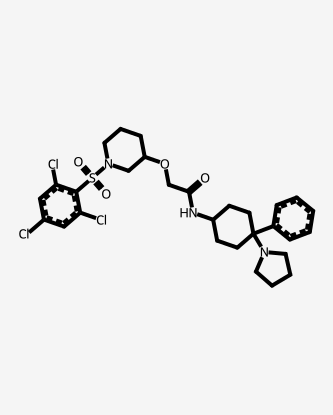 O=C(COC1CCCN(S(=O)(=O)c2c(Cl)cc(Cl)cc2Cl)C1)NC1CCC(c2ccccc2)(N2CCCC2)CC1